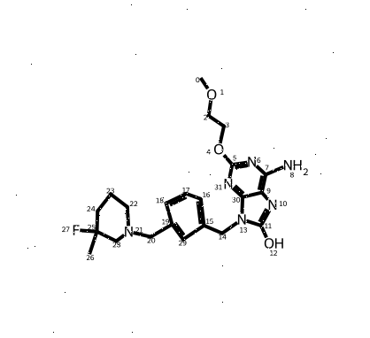 COCCOc1nc(N)c2nc(O)n(Cc3cccc(CN4CCCC(C)(F)C4)c3)c2n1